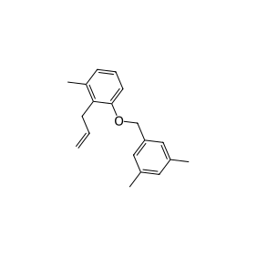 C=CCc1c(C)cccc1OCc1cc(C)cc(C)c1